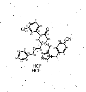 Cl.Cl.N#Cc1ccc(Cn2cncc2CN2CC(=O)N(c3cccc(Cl)c3)C[C@@H]2COCc2ccccc2)cc1